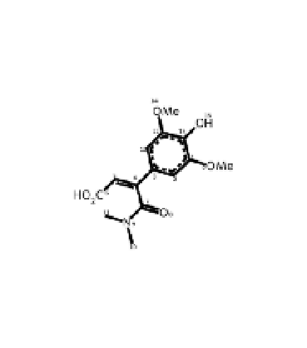 COc1cc(C(=CC(=O)O)C(=O)N(C)C)cc(OC)c1O